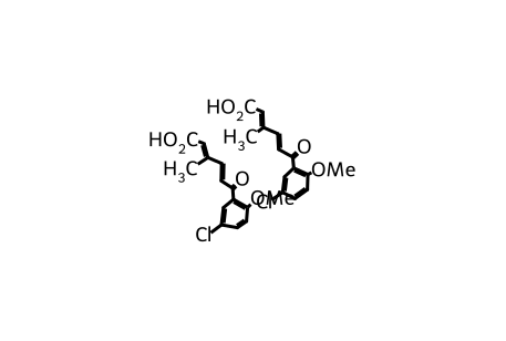 COc1ccc(Cl)cc1C(=O)/C=C/C(C)=C/C(=O)O.COc1ccc(Cl)cc1C(=O)/C=C/C(C)=C/C(=O)O